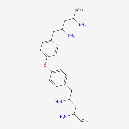 CCCCCCCCC(N)CC(N)Cc1ccc(Oc2ccc(CC(N)CC(N)CCCCCCCC)cc2)cc1